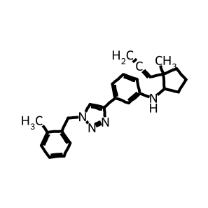 C=C=CC1(C)CCCC1Nc1cccc(-c2cn(Cc3ccccc3C)nn2)c1